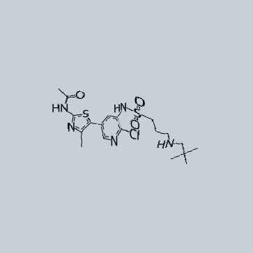 CC(=O)Nc1nc(C)c(-c2cnc(Cl)c(NS(=O)(=O)CCCNCC(C)(C)C)c2)s1